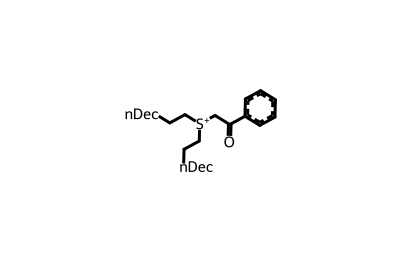 CCCCCCCCCCCC[S+](CCCCCCCCCCCC)CC(=O)c1ccccc1